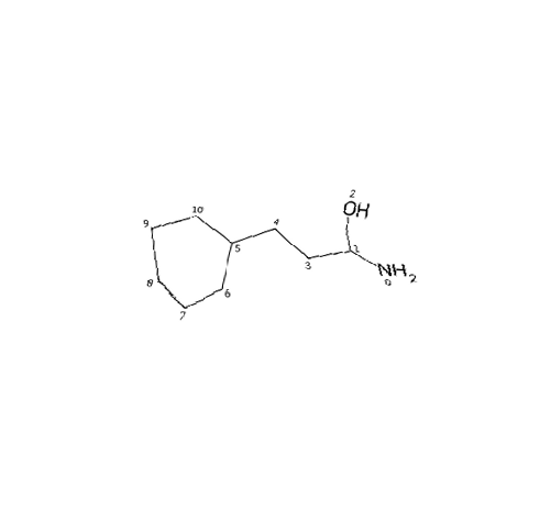 NC(O)CCC1CCCCC1